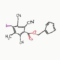 Cc1c(I)c(C#N)c(C#N)c(C(=O)OCc2ccccc2)c1C#N